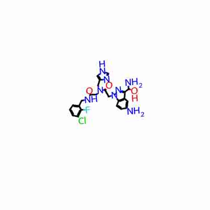 Nc1ccc2c(c1)c(C(N)O)nn2CC(=O)N(CC(=O)NCc1cccc(Cl)c1F)Cc1c[nH]cn1